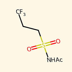 CC(=O)NS(=O)(=O)CCC(F)(F)F